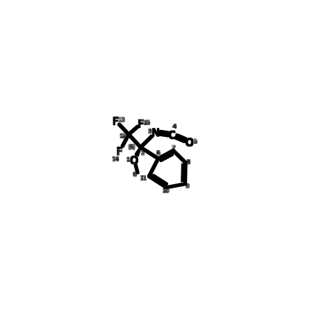 CO[C@@](N=C=O)(c1ccccc1)C(F)(F)F